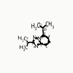 CC(C)c1nc2cccc(C(C)C)n2n1